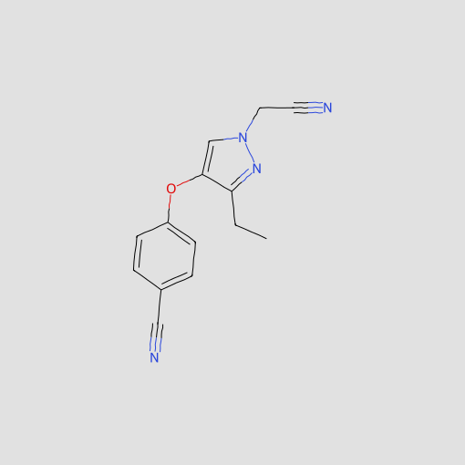 CCc1nn(CC#N)cc1Oc1ccc(C#N)cc1